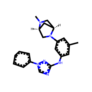 Cc1cc(Nc2ncn(-c3ccccc3)n2)cc(N2C[C@@H]3C[C@H]2CN3C)c1